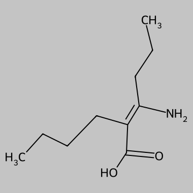 CCCC/C(C(=O)O)=C(/N)CCC